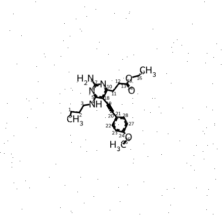 CCCCNc1nc(N)nc(CCC(=O)OCC)c1C#Cc1ccc(OC)cc1